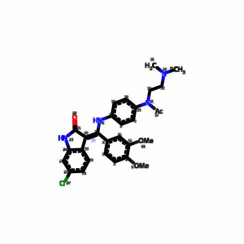 COc1ccc(/C(Nc2ccc(N(CCN(C)C)C(C)=O)cc2)=C2/C(=O)Nc3cc(Cl)ccc32)cc1OC